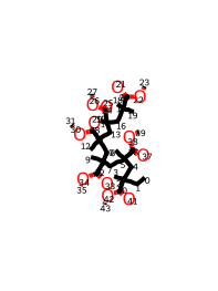 CCC(C)(CC(C)(CC(C)(CC(C)(CC(C)(CC(C)(C)C(=O)OC)C(=O)OC)C(=O)OC)C(=O)OC)C(=O)OC)C(=O)OC